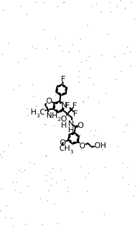 COc1cc(OCCO)cc(C(=O)NCC(O)(c2cc3c(c(-c4ccc(F)cc4)n2)OC[C@@]3(C)N)C(F)(F)F)c1